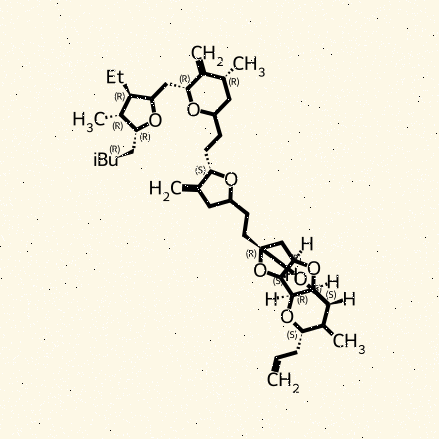 C=CC[C@@H]1O[C@H]2[C@H]3O[C@]4(CCC5CC(=C)[C@H](CCC6C[C@@H](C)C(=C)[C@@H](CC7O[C@H](C[C@H](C)CC)[C@H](C)[C@H]7CC)O6)O5)C[C@H]3O[C@H]2[C@@H](O4)C1C